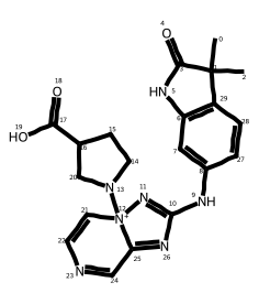 CC1(C)C(=O)Nc2cc(NC3=N[N+]4(N5CCC(C(=O)O)C5)C=CN=CC4=N3)ccc21